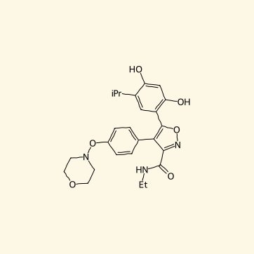 CCNC(=O)c1noc(-c2cc(C(C)C)c(O)cc2O)c1-c1ccc(ON2CCOCC2)cc1